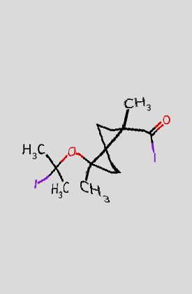 CC(C)(I)OC1(C)CC12CC2(C)C(=O)I